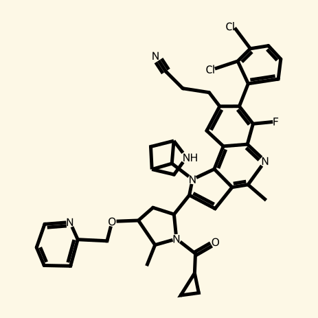 Cc1nc2c(F)c(-c3cccc(Cl)c3Cl)c(CCC#N)cc2c2c1cc(C1CC(OCc3ccccn3)C(C)N1C(=O)C1CC1)n2C1C2CNC1C2